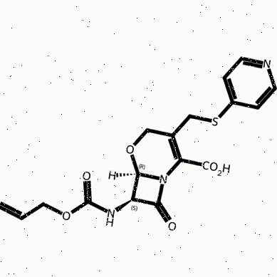 C=CCOC(=O)N[C@@H]1C(=O)N2C(C(=O)O)=C(CSc3ccncc3)CO[C@H]12